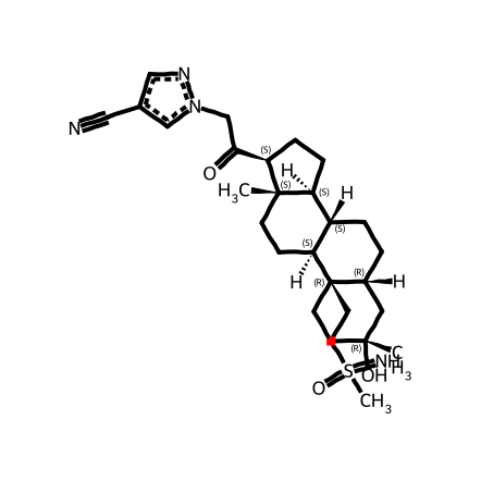 C[C@@]1(O)CC[C@@]2(CCS(C)(=N)=O)[C@H](CC[C@H]3[C@@H]4CC[C@H](C(=O)Cn5cc(C#N)cn5)[C@@]4(C)CC[C@@H]32)C1